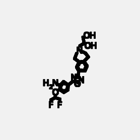 Nc1cc(-c2nc(-c3ccc4c(c3)CCN(CC(O)CO)CC4)no2)ccc1OC(CF)CF